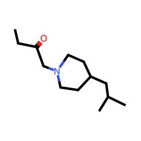 CCC(=O)CN1CCC(CC(C)C)CC1